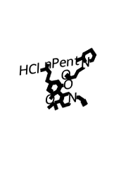 C#CCN1CCC2=C(C1)c1c(OC(=O)CCCN3CCCCC3C)cc(CCC(C)CCCCC)cc1OC2(C)C.Cl